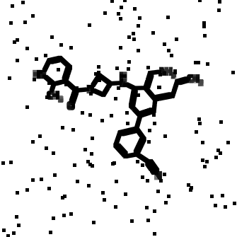 C=C/C=c1/cc(-c2cccc(C#N)c2)cc(NC2CN(C(=O)C3=CC=CNC3C)C2)/c1=C/N